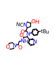 CC(C)(C)c1ccc(N(C(=O)C2CC(O)CN2C#N)C(C(=O)NCC(=O)N2CCOCC2)c2cccnc2)cc1